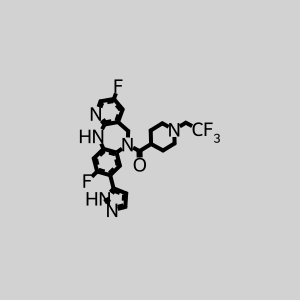 O=C(C1CCN(CC(F)(F)F)CC1)N1Cc2cc(F)cnc2Nc2cc(F)c(-c3ccn[nH]3)cc21